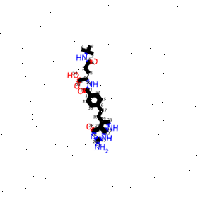 CC(C)(C)NC(=O)CC[C@H](NC(=O)c1ccc(CCc2c[nH]c3[nH]c(N)nc(=O)c23)cc1)C(=O)O